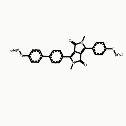 CCCCCCCCOc1ccc(C2=C3C(=O)N(C)C(c4ccc(-c5ccc(OCCCCCCC)cc5)cc4)=C3C(=O)N2C)cc1